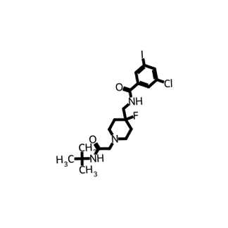 CC(C)(C)NC(=O)CN1CCC(F)(CNC(=O)c2cc(Cl)cc(I)c2)CC1